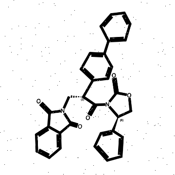 O=C1c2ccccc2C(=O)N1C[C@@H](C(=O)N1C(=O)OC[C@H]1c1ccccc1)c1ccc(-c2ccccc2)cc1